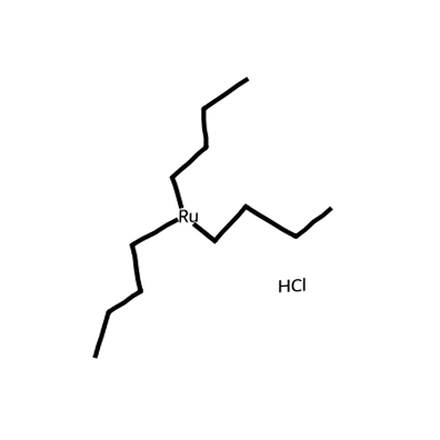 CCC[CH2][Ru]([CH2]CCC)[CH2]CCC.Cl